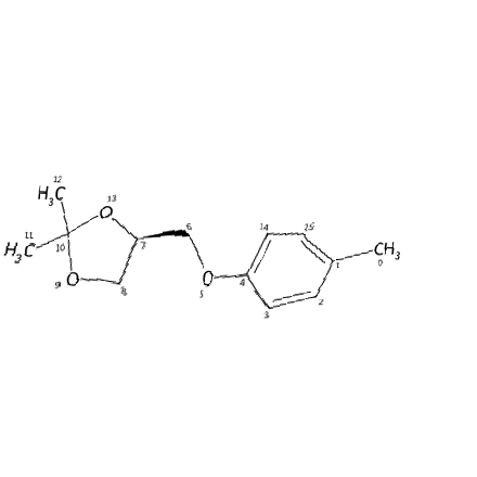 Cc1ccc(OC[C@H]2COC(C)(C)O2)cc1